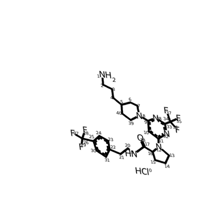 Cl.NCCCC1CCN(c2cc(N3CCCC3C(=O)NCCc3ccc(C(F)(F)F)cc3)nc(C(F)(F)F)n2)CC1